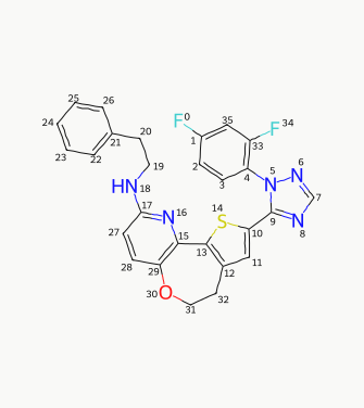 Fc1ccc(-n2ncnc2-c2cc3c(s2)-c2nc(NCCc4ccccc4)ccc2OCC3)c(F)c1